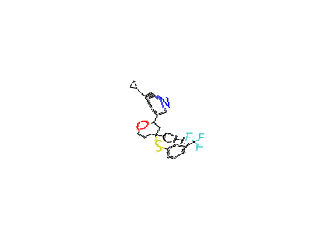 CC1(Sc2cccc(C(F)(F)F)c2)CCOC(c2cncc(C3CC3)c2)C1